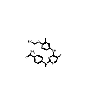 Cc1cc(Nc2nc(Nc3ccc(C(N)=O)cc3)ncc2F)ccc1OCC#N